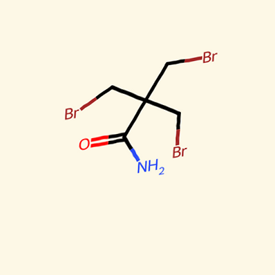 NC(=O)C(CBr)(CBr)CBr